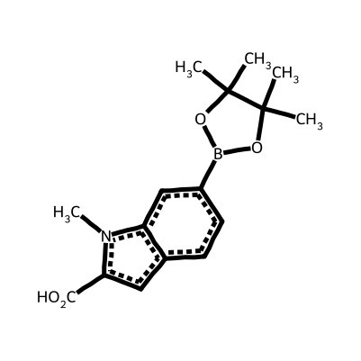 Cn1c(C(=O)O)cc2ccc(B3OC(C)(C)C(C)(C)O3)cc21